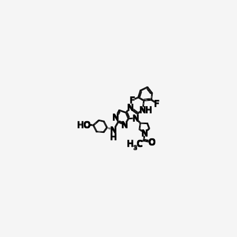 CC(=O)N1CCC(n2c(Nc3c(F)cccc3F)nc3cnc(N[C@H]4CC[C@H](O)CC4)nc32)C1